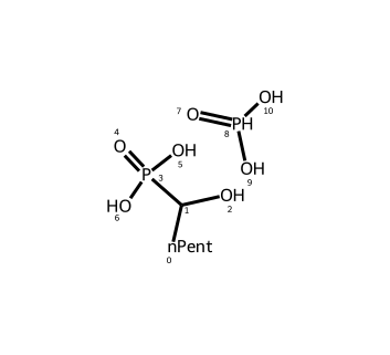 CCCCCC(O)P(=O)(O)O.O=[PH](O)O